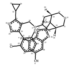 N#Cc1cc(F)c2nc([C@]3(O)[C@@H]4COC[C@H]3CC(OCc3c(-c5c(Cl)cccc5Cl)noc3C3CC3)C4)sc2c1